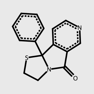 O=C1c2cnccc2C2(c3ccccc3)SCCN12